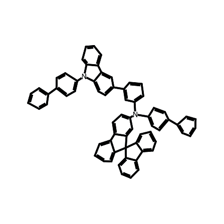 c1ccc(-c2ccc(N(c3cccc(-c4ccc5c(c4)c4ccccc4n5-c4ccc(-c5ccccc5)cc4)c3)c3ccc4c(c3)C3(c5ccccc5-c5ccccc53)c3ccccc3-4)cc2)cc1